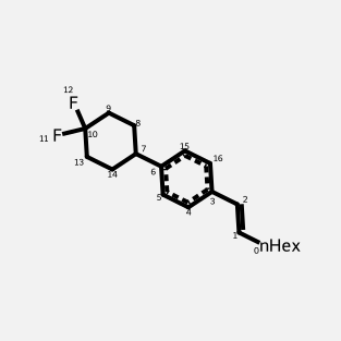 CCCCCCC=Cc1ccc(C2CCC(F)(F)CC2)cc1